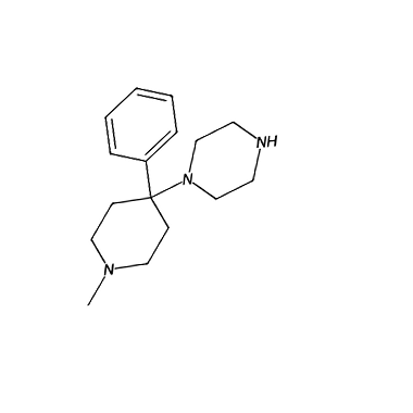 CN1CCC(c2ccccc2)(N2CCNCC2)CC1